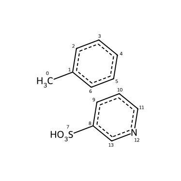 Cc1ccccc1.O=S(=O)(O)c1cccnc1